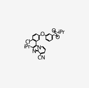 CC(C)c1nc2c(C#N)cccn2c1-c1cc(Oc2cccc(S(=O)(=O)C(C)C)c2)ccc1Cl